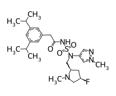 CC(C)c1cc(CC(=O)NS(=O)(=O)N(C[C@H]2C[C@@H](F)CN2C)c2cnn(C)c2)cc(C(C)C)c1